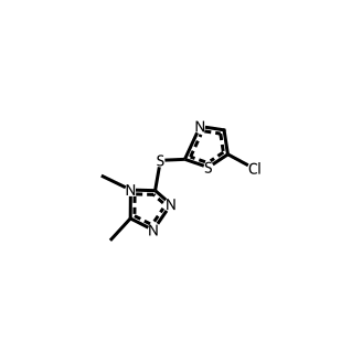 Cc1nnc(Sc2ncc(Cl)s2)n1C